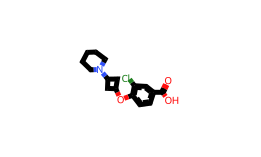 O=C(O)c1ccc(OC2CC(N3CCCCC3)C2)c(Cl)c1